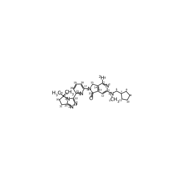 [2H]c1nc(N(C)CC2CCCC2)cc2c1CN(c1cccc(-c3nnc4n3C(C)(C)CC4)n1)C2=O